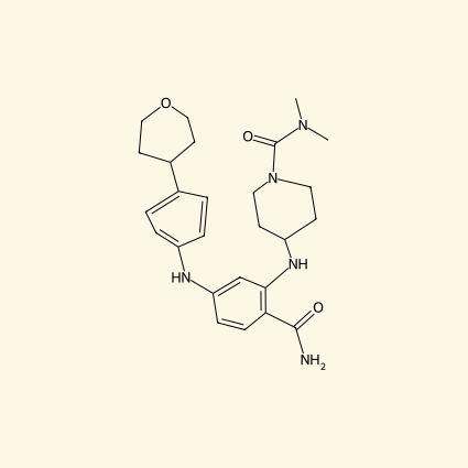 CN(C)C(=O)N1CCC(Nc2cc(Nc3ccc(C4CCOCC4)cc3)ccc2C(N)=O)CC1